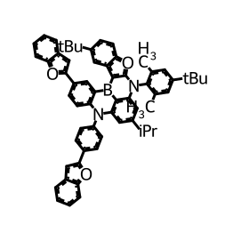 Cc1cc(C(C)(C)C)cc(C)c1N1c2cc(C(C)C)cc3c2B(c2cc(-c4cc5ccccc5o4)ccc2N3c2ccc(-c3cc4ccccc4o3)cc2)c2c1oc1ccc(C(C)(C)C)cc21